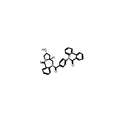 O=C(Nc1ccc(C(=O)N2C[C@H]3C[C@@H](O)CN3C(=S)c3ccccc32)cc1)c1ccccc1-c1ccccc1